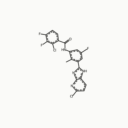 Cc1c(NC(=O)c2ccc(F)c(F)c2Cl)cc(F)cc1-c1nc2nc(Cl)ccc2[nH]1